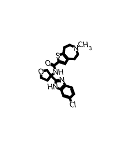 CN1CCc2cc(C(=O)NC3(c4nc5ccc(Cl)cc5[nH]4)CCOC3)sc2CC1